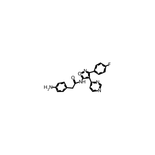 Nc1ccc(CC(=O)Nc2onc(-c3ccc(F)cc3)c2-c2ccncn2)cc1